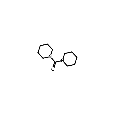 O=C(N1[CH]CCCC1)N1CCCCC1